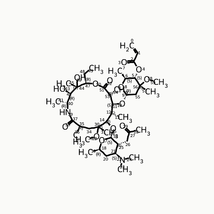 C=CC(=O)O[C@H]1[C@H](C)O[C@@H](O[C@H]2[C@H](C)[C@@H](O[C@@H]3O[C@H](C)C[C@H](N(C)C)[C@H]3CC(C)=O)[C@](C)(OC)C[C@@H](C)C(=O)N[C@H](C)[C@@H](O)[C@](C)(O)[C@@H](CC)OC(=O)[C@@H]2C)C[C@@]1(C)OC